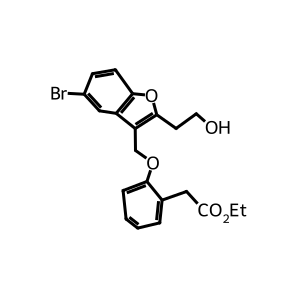 CCOC(=O)Cc1ccccc1OCc1c(CCO)oc2ccc(Br)cc12